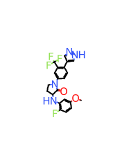 COc1ccc(F)c(NC2CCN(c3ccc(-c4cn[nH]c4)c(C(F)(F)F)c3)C2=O)c1